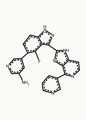 Nc1cncc(-c2ccc3[nH]nc(-c4nc5c(-c6cccnc6)nccc5[nH]4)c3c2F)c1